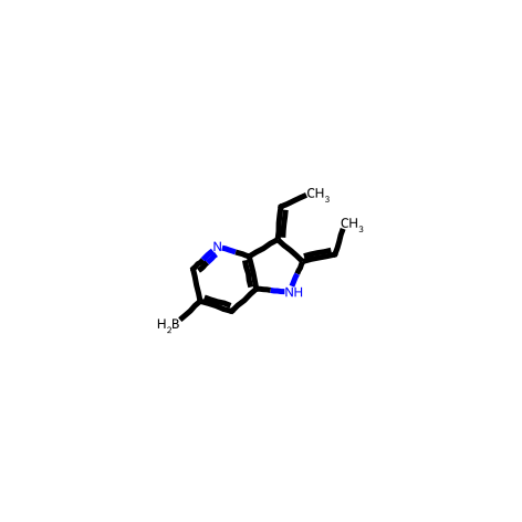 Bc1cnc2c(=C/C)/c(=C\C)[nH]c2c1